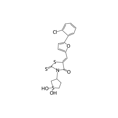 O=C1C(=Cc2ccc(-c3ccccc3Cl)o2)SC(=S)N1C1CCS(O)(O)C1